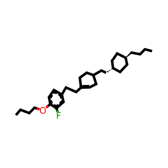 CCCCOc1ccc(CCC2=CCC(CC[C@H]3CC[C@H](CCCC)CC3)CC2)cc1F